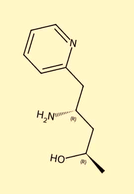 C[C@@H](O)C[C@H](N)Cc1ccccn1